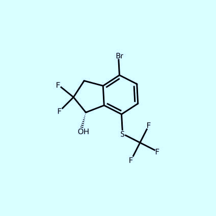 O[C@H]1c2c(SC(F)(F)F)ccc(Br)c2CC1(F)F